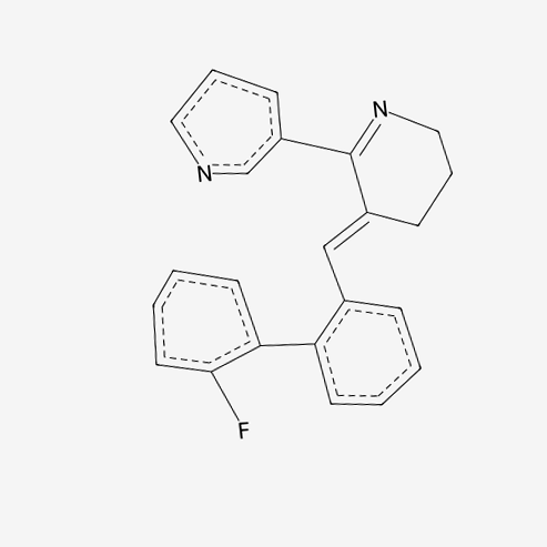 Fc1ccccc1-c1ccccc1C=C1CCCN=C1c1cccnc1